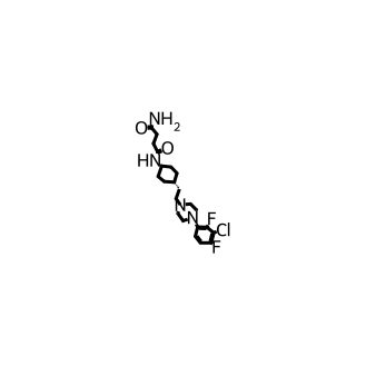 NC(=O)CCC(=O)N[C@H]1CC[C@H](CCN2CCN(c3ccc(F)c(Cl)c3F)CC2)CC1